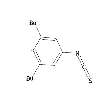 CCC(C)c1[c]c(C(C)CC)cc(N=C=S)c1